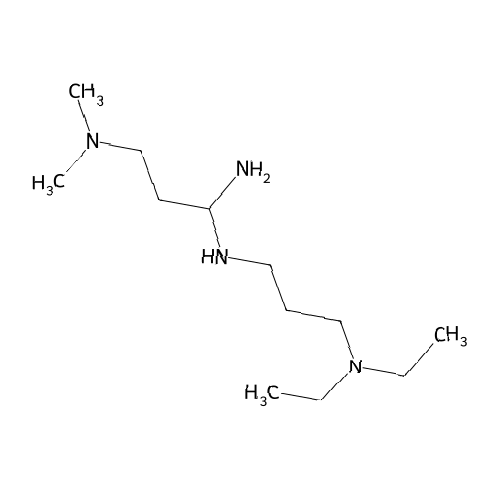 CCN(CC)CCCNC(N)CCN(C)C